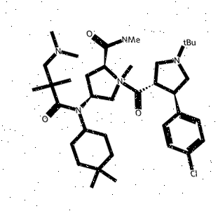 CNC(=O)[C@@H]1C[C@H](N(C(=O)C(C)(C)CN(C)C)C2CCC(C)(C)CC2)C[N+]1(C)C(=O)[C@@H]1CN(C(C)(C)C)C[C@H]1c1ccc(Cl)cc1